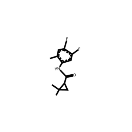 Cc1cc(F)c(F)cc1NC(=O)C1CC1(C)C